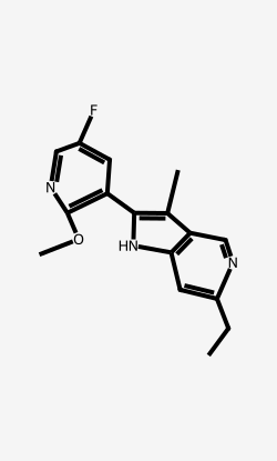 CCc1cc2[nH]c(-c3cc(F)cnc3OC)c(C)c2cn1